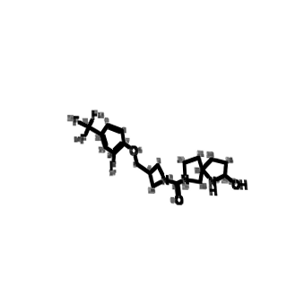 O=C(N1CC(COc2ccc(C(F)(F)F)cc2F)C1)N1CCC2(CCC(O)N2)C1